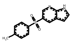 Cc1ccc(S(=O)(=O)c2cnc3[nH]ccc3c2)cc1